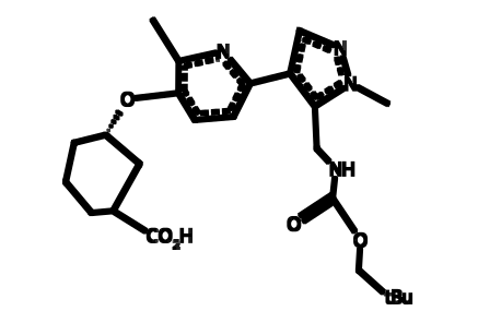 Cc1nc(-c2cnn(C)c2CNC(=O)OCC(C)(C)C)ccc1O[C@H]1CCCC(C(=O)O)C1